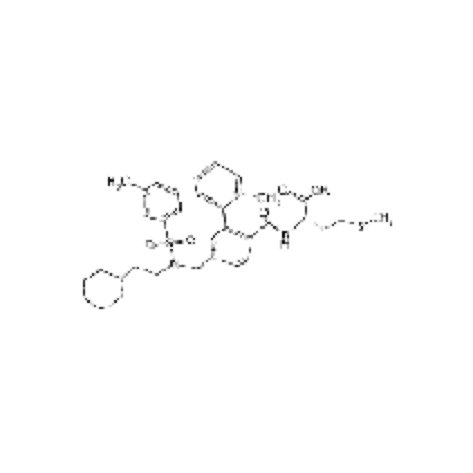 CSCC[C@H](NC(=O)c1ccc(CN(CCC2CCCCC2)S(=O)(=O)c2cccc(C)c2)cc1-c1ccccc1C)C(=O)O